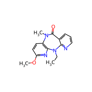 CCN1c2ncccc2C(=O)N(C)c2ccc(OC)nc21